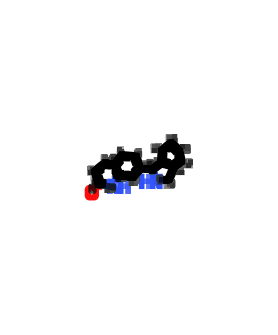 O=c1ccc2ccc(C3NCc4ccccc43)cc2[nH]1